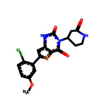 COc1ccc(Cl)c(-c2cc3[nH]c(=O)n(C4CCNC(=O)C4)c(=O)c3s2)c1